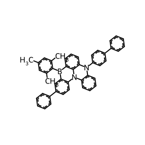 Cc1cc(C)c(B2c3cc(-c4ccccc4)ccc3N3c4ccccc4N(c4ccc(-c5ccccc5)cc4)c4cccc2c43)c(C)c1